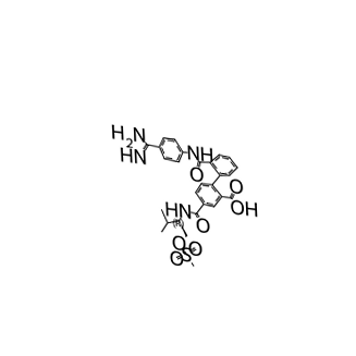 CC(C)[C@H](COS(C)(=O)=O)NC(=O)c1ccc(-c2ccccc2C(=O)Nc2ccc(C(=N)N)cc2)c(C(=O)O)c1